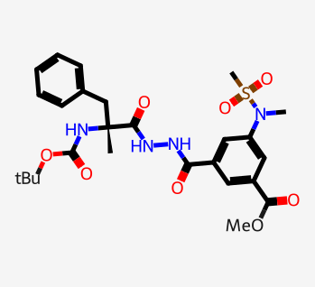 COC(=O)c1cc(C(=O)NNC(=O)[C@@](C)(Cc2ccccc2)NC(=O)OC(C)(C)C)cc(N(C)S(C)(=O)=O)c1